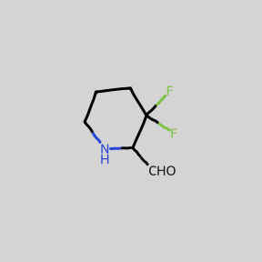 O=CC1NCCCC1(F)F